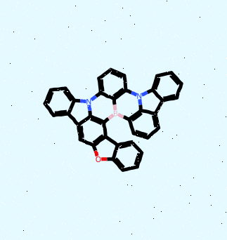 c1cc2c3c(c1)-n1c4ccccc4c4cc5oc6ccccc6c5c(c41)B3c1cccc3c4ccccc4n-2c13